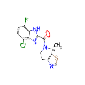 C[C@@H]1c2scnc2CCN1C(=O)c1nc2c(Cl)ccc(F)c2[nH]1